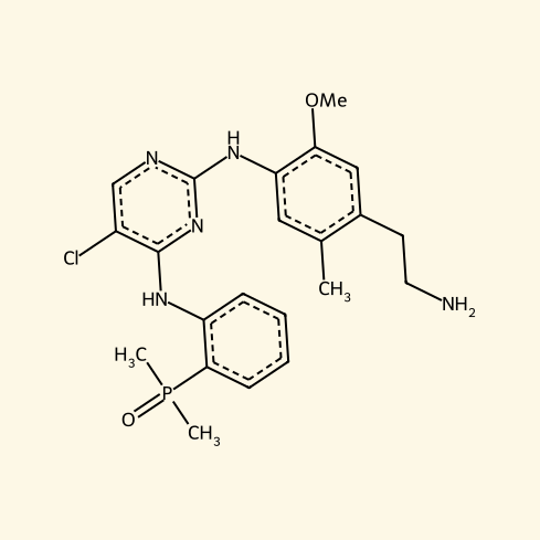 COc1cc(CCN)c(C)cc1Nc1ncc(Cl)c(Nc2ccccc2P(C)(C)=O)n1